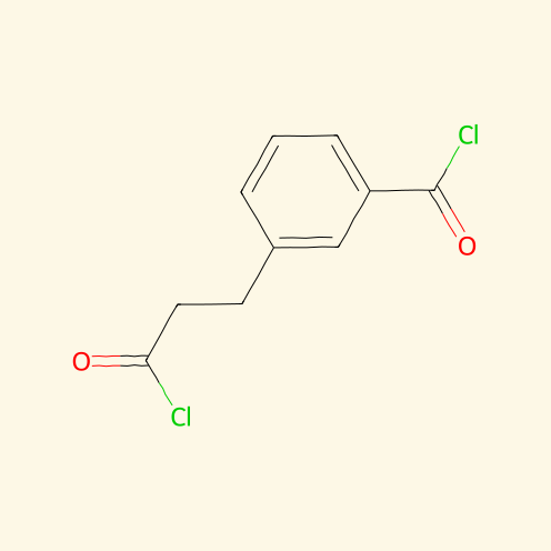 O=C(Cl)CCc1cccc(C(=O)Cl)c1